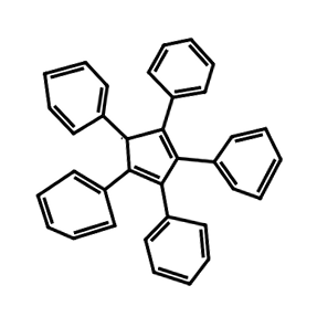 c1ccc([C]2C(c3ccccc3)=C(c3ccccc3)C(c3ccccc3)=C2c2ccccc2)cc1